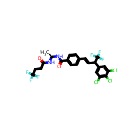 C[C@H](NC(=O)CCC(F)(F)F)NC(=O)c1ccc(/C=C/C(c2cc(Cl)c(Cl)c(Cl)c2)C(F)(F)F)cc1